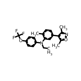 CCN(c1ccc(OC(F)(F)F)cc1)c1cc(-c2c(C)noc2C)ccc1C